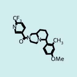 COc1ccc(C2CCCC3CN(C(=O)c4ccc(C(F)(F)F)nc4)CCN32)c(C)c1